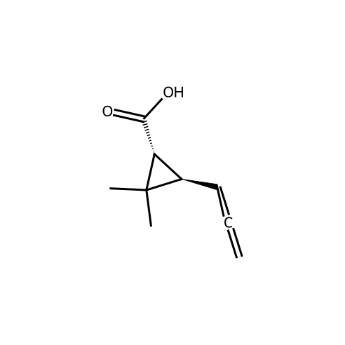 C=C=C[C@@H]1[C@@H](C(=O)O)C1(C)C